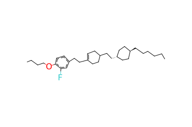 CCCCCC[C@H]1CC[C@H](CCC2CC=C(CCc3ccc(OCCCC)c(F)c3)CC2)CC1